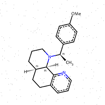 COc1ccc([C@@H](C)N2CCC[C@@H]3CCc4cccnc4[C@@H]32)cc1